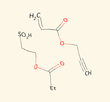 C#CCOC(=O)C=C.CCC(=O)OCCS(=O)(=O)O